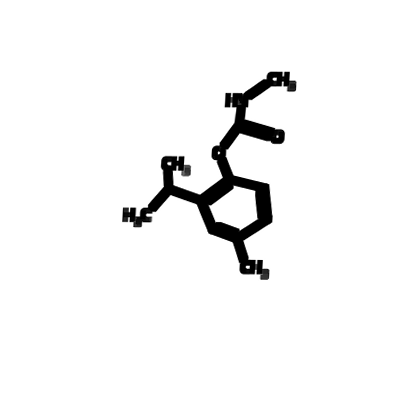 CNC(=O)Oc1ccc(C)cc1C(C)C